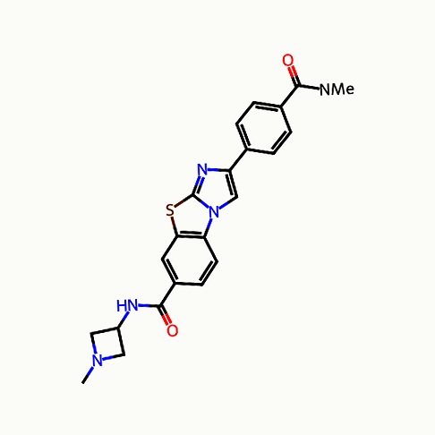 CNC(=O)c1ccc(-c2cn3c(n2)sc2cc(C(=O)NC4CN(C)C4)ccc23)cc1